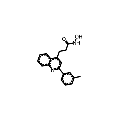 Cc1cccc(-c2cc(CCC(=O)NO)c3ccccc3n2)c1